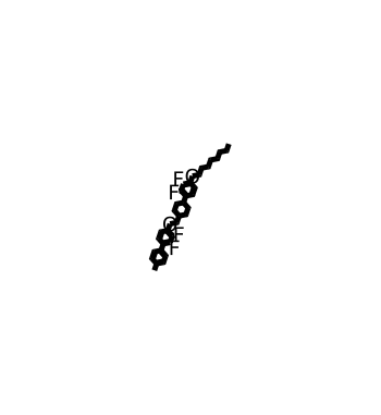 CCCCCCCCOc1ccc(C2CCC(COc3ccc(-c4ccc(C)cc4)c(F)c3F)CC2)c(F)c1F